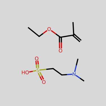 C=C(C)C(=O)OCC.CN(C)CCS(=O)(=O)O